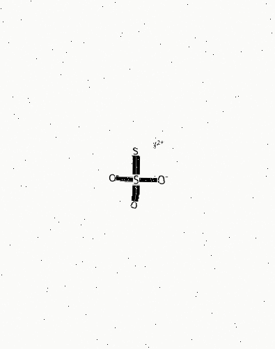 O=S([O-])([O-])=S.[I+2]